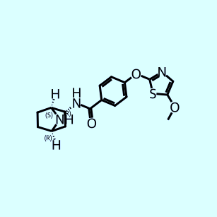 COc1cnc(Oc2ccc(C(=O)N[C@@H]3C[C@H]4CC[C@@H]3N4)cc2)s1